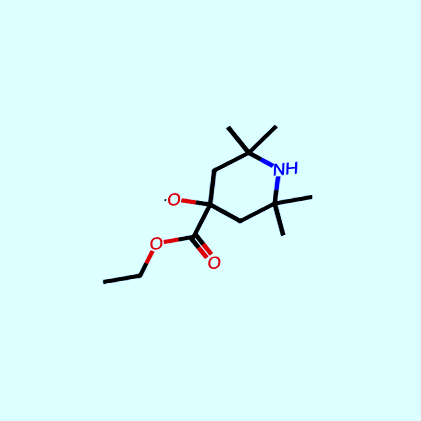 CCOC(=O)C1([O])CC(C)(C)NC(C)(C)C1